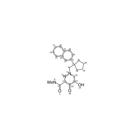 CNC(=O)c1nn(CC2(c3ccc4ccccc4c3)CCCC2)cc(O)c1=O